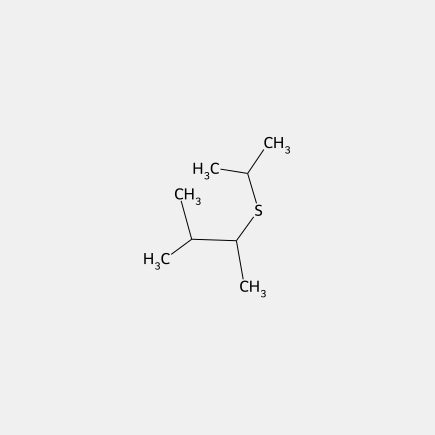 CC(C)SC(C)C(C)C